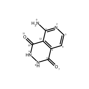 Nc1nccc2c(=O)[nH][nH]c(=O)c12